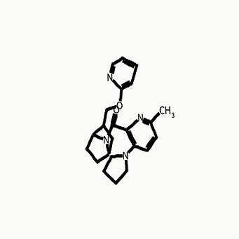 Cc1ccc(N2CCCC2)c(C(=O)N2C3CCC2C(COc2ccccn2)C3)n1